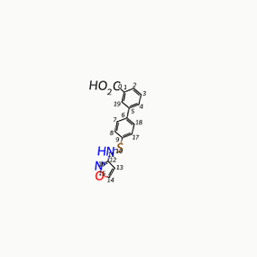 O=C(O)c1cccc(-c2ccc(SNc3ccon3)cc2)c1